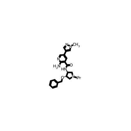 CC(C)N1C[C@H](NC(=O)c2cc(-c3cnn(C)c3)cnc2N)[C@@H](OCc2ccccc2)C1